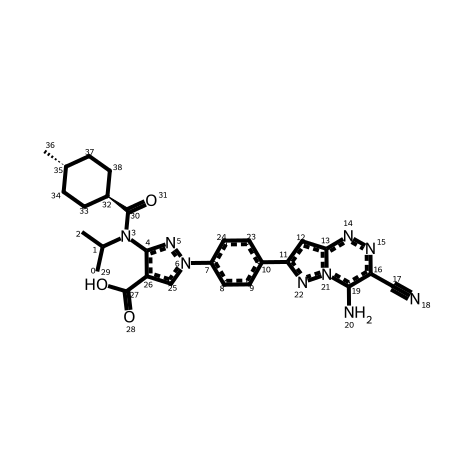 CC(C)N(c1nn(-c2ccc(-c3cc4nnc(C#N)c(N)n4n3)cc2)cc1C(=O)O)C(=O)[C@H]1CC[C@H](C)CC1